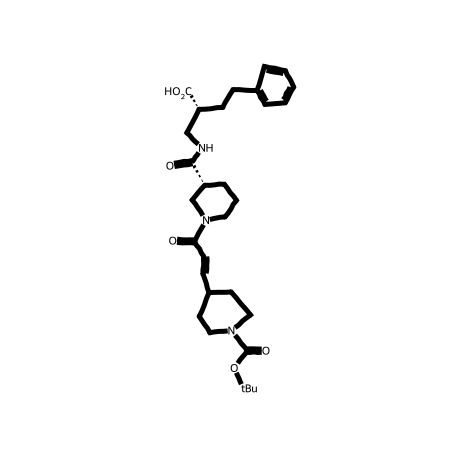 CC(C)(C)OC(=O)N1CCC(/C=C/C(=O)N2CCC[C@@H](C(=O)NC[C@@H](CCc3ccccc3)C(=O)O)C2)CC1